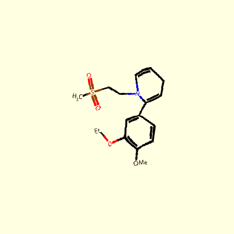 CCOc1cc(C2=CCC=CN2CCS(C)(=O)=O)ccc1OC